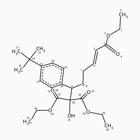 CCOC(=O)/C=C/CSC(c1ccc(C(C)(C)C)cc1)C(O)(C(=O)OCC)C(=O)OCC